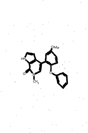 COc1ccc(Oc2ccccc2)c(-c2cn(C)c(=O)c3[nH]ccc23)c1